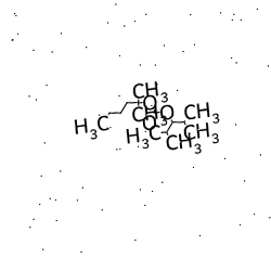 CCCCC(C)(C)OC(=O)OC(C(C)C)C(C)C